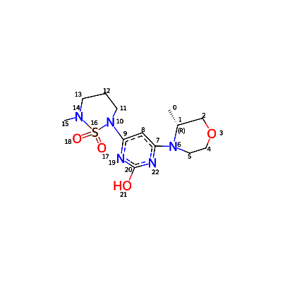 C[C@@H]1COCCN1c1cc(N2CCCN(C)S2(=O)=O)nc(O)n1